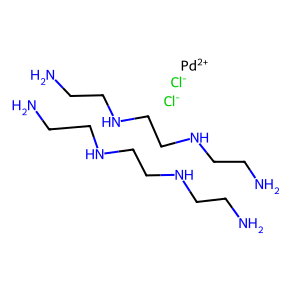 NCCNCCNCCN.NCCNCCNCCN.[Cl-].[Cl-].[Pd+2]